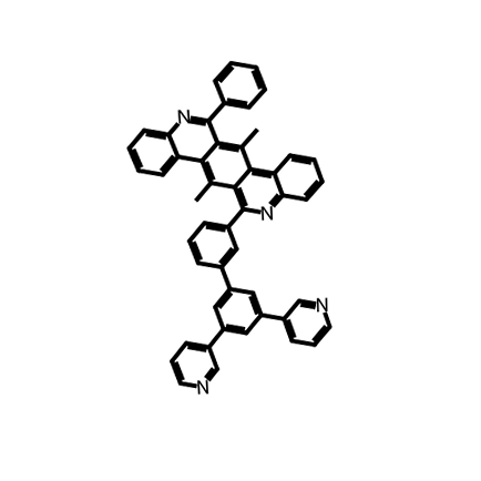 Cc1c2c(-c3cccc(-c4cc(-c5cccnc5)cc(-c5cccnc5)c4)c3)nc3ccccc3c2c(C)c2c(-c3ccccc3)nc3ccccc3c12